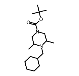 CC1CN(C(=O)OC(C)(C)C)CC(C)N1CC1CCCCC1